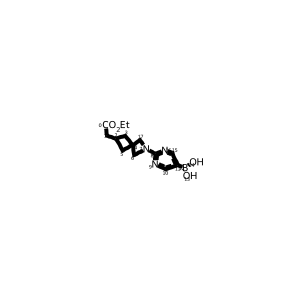 CCOC(=O)CC1CC2(C1)CN(c1ncc(B(O)O)cn1)C2